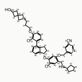 N#Cc1cncc(COc2cc(O[C@H]3CCc4c(-c5cccc(OCCCN6CC7(CC(O)C7)C6)c5Cl)cccc43)c(Cl)cc2CNC2CCCC2)c1